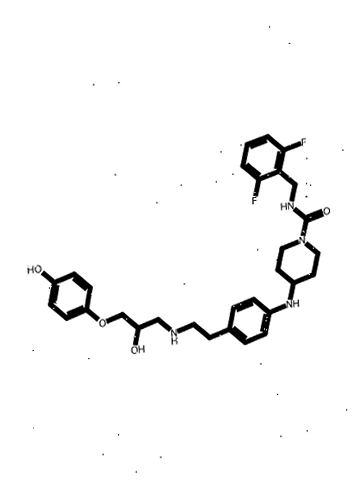 O=C(NCc1c(F)cccc1F)N1CCC(Nc2ccc(CCNCC(O)COc3ccc(O)cc3)cc2)CC1